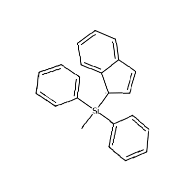 C[Si]([C]1C=Cc2ccccc21)(c1ccccc1)c1ccccc1